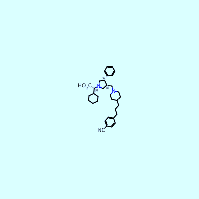 N#Cc1ccc(CCCC2CCN(C[C@H]3CN([C@@H](C(=O)O)C4CCCCC4)C[C@@H]3c3ccccc3)CC2)cc1